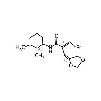 CC(C)/C=C(\C=C1/COCO1)C(=O)NC1CCCC(C)[C@H]1C